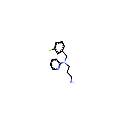 NCCCN(Cc1cccc(F)c1)c1ccccn1